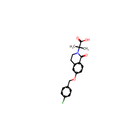 CC(C)(C(=O)O)N1CCc2cc(OCc3ccc(F)cc3)ccc2C1=O